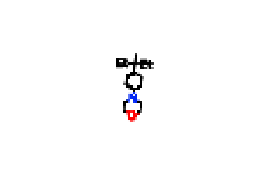 CCC(C)(CC)c1ccc(N2CCOCC2)cc1